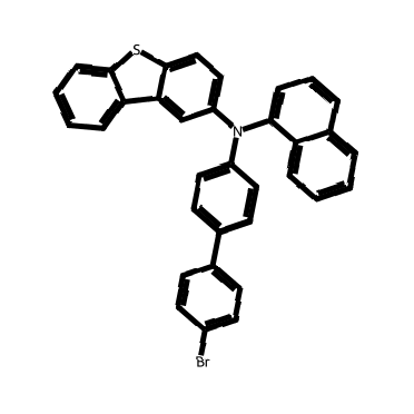 Brc1ccc(-c2ccc(N(c3ccc4sc5ccccc5c4c3)c3cccc4ccccc34)cc2)cc1